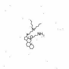 CCCCCN(CCCCC)CCC[C@@H](C)C1CCC2C3CCC4CCCCC4(C)C3C[C@H](OCCCN)C21C